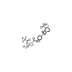 NC(=O)c1cccc2cn(-c3ccc(NC(=O)[C@H]4CC[C@@](N)(OC(=O)C(F)(F)F)C4)cc3)nc12